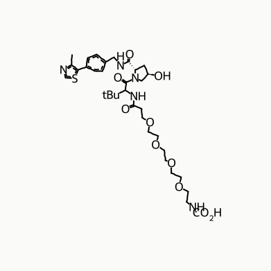 Cc1ncsc1-c1ccc(CNC(=O)[C@@H]2C[C@@H](O)CN2C(=O)C(NC(=O)CCOCCOCCOCCOCCNC(=O)O)C(C)(C)C)cc1